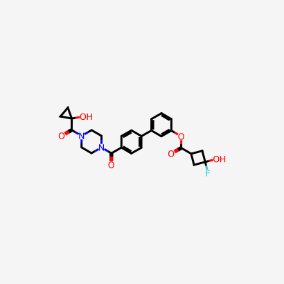 O=C(Oc1cccc(-c2ccc(C(=O)N3CCN(C(=O)C4(O)CC4)CC3)cc2)c1)C1CC(O)(F)C1